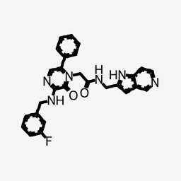 O=C(Cn1c(-c2ccccc2)cnc(NCc2cccc(F)c2)c1=O)NCc1cc2cnccc2[nH]1